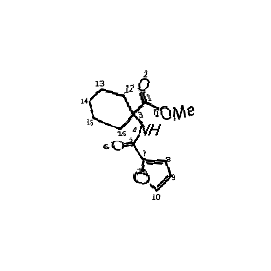 COC(=O)C1(NC(=O)c2ccco2)CCCCC1